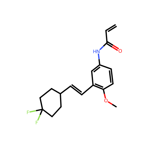 C=CC(=O)Nc1ccc(OC)c(C=CC2CCC(F)(F)CC2)c1